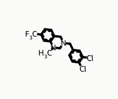 CN1CN(Cc2ccc(Cl)c(Cl)c2)Cc2ccc(C(F)(F)F)cc21